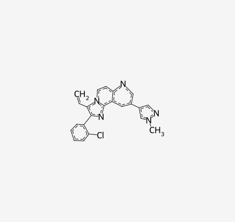 C=Cc1c(-c2ccccc2Cl)nc2c3cc(-c4cnn(C)c4)cnc3ccn12